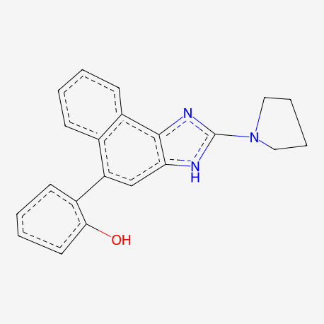 Oc1ccccc1-c1cc2[nH]c(N3CCCC3)nc2c2ccccc12